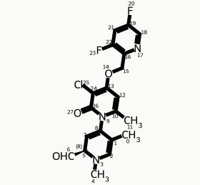 CC1=CN(C)[C@@H](C=O)C=C1n1c(C)cc(OCc2ncc(F)cc2F)c(Cl)c1=O